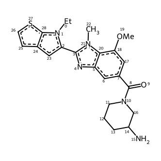 CCn1c(-c2nc3cc(C(=O)N4CCCC(N)C4)cc(OC)c3n2C)cc2ccsc21